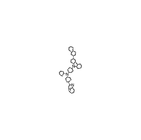 c1ccc(N(c2ccc(-c3cn4ccccc4n3)cc2)c2ccc(-n3c4ccccc4c4cc(-c5ccc6ccccc6c5)ccc43)cc2)cc1